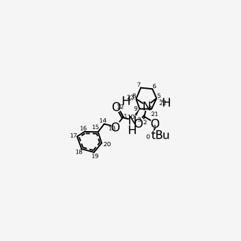 CC(C)(C)OC(=O)N1[C@H]2CC[C@@H]1[C@H](NC(=O)OCc1ccccc1)C2